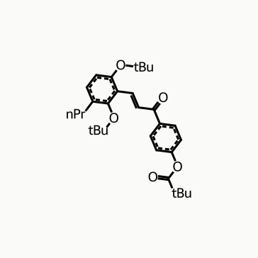 CCCc1ccc(OC(C)(C)C)c(C=CC(=O)c2ccc(OC(=O)C(C)(C)C)cc2)c1OC(C)(C)C